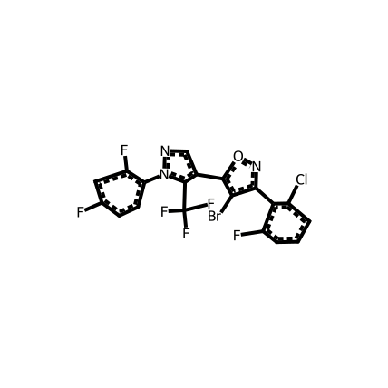 Fc1ccc(-n2ncc(-c3onc(-c4c(F)cccc4Cl)c3Br)c2C(F)(F)F)c(F)c1